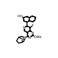 COc1nc(N2CC3CCC(C2)N3)c2cnc(-c3cc(O)cc4ccccc34)c(F)c2n1